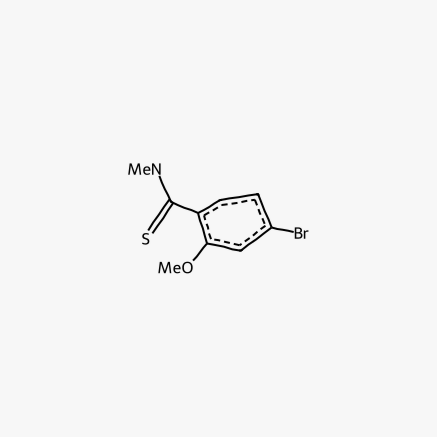 CNC(=S)c1ccc(Br)cc1OC